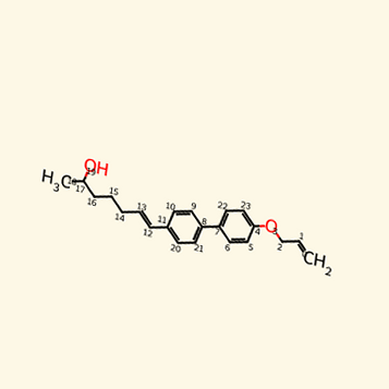 C=CCOc1ccc(-c2ccc(/C=C/CCCC(C)O)cc2)cc1